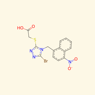 O=C(O)CSc1nnc(Br)n1Cc1ccc([N+](=O)[O-])c2ccccc12